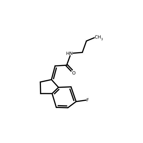 CCCNC(=O)/C=C1/CCc2ccc(F)cc21